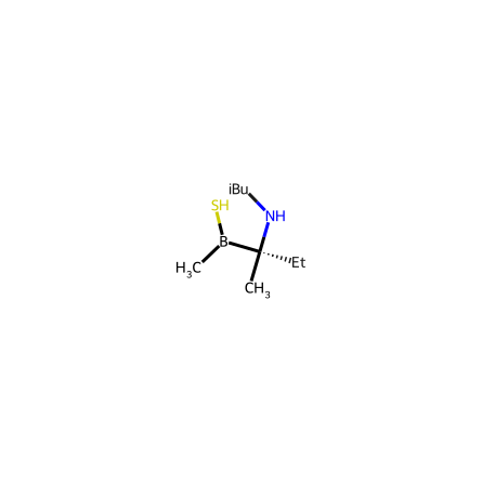 CCC(C)N[C@](C)(CC)B(C)S